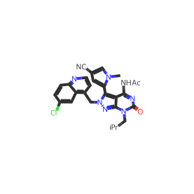 CC(=O)Nc1nc(=O)n(CC(C)C)c2nn(Cc3ccnc4ccc(Cl)cc34)c(-c3cc(C#N)cn3C)c12